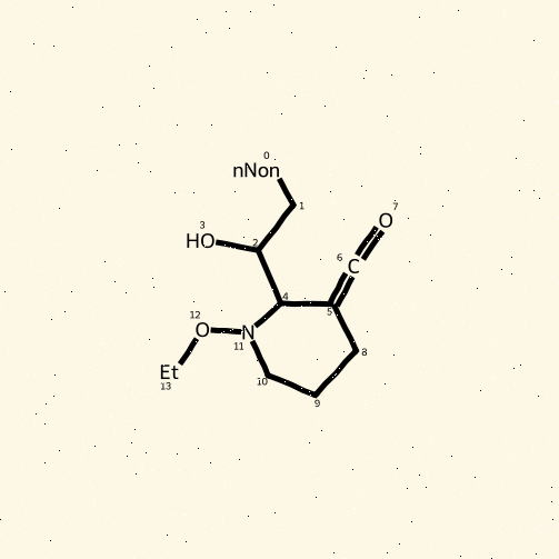 CCCCCCCCCCC(O)C1C(=C=O)CCCN1OCC